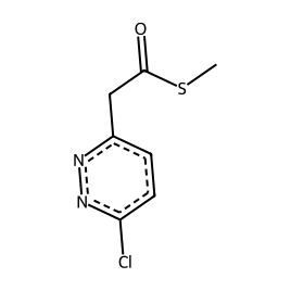 CSC(=O)Cc1ccc(Cl)nn1